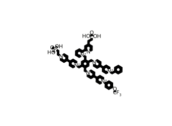 O=P(O)(O)CCc1ccnc(-c2cccc[n+]2Cc2cc(C[n+]3ccc(-c4cc[n+](CCP(=O)(O)O)cc4)cc3)c(C[n+]3ccc(-c4cc[n+](-c5ccc(OC(F)(F)F)cc5)cc4)cc3)cc2C[n+]2ccc(-c3cc[n+](Cc4ccccc4)cc3)cc2)c1